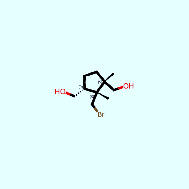 C[C@]1(CO)CC[C@@H](CO)[C@@]1(C)CBr